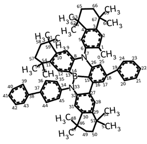 Cc1cc2c(cc1N1c3cc4c(cc3B3c5c(cc(-c6ccccc6)cc51)-c1cc5c(cc1N3c1ccc(-c3ccccc3)cc1)C(C)(C)CCC5(C)C)C(C)(C)CCC4(C)C)C(C)(C)CCC2(C)C